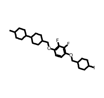 CC1CCC(C2CCC(COc3ccc(OCC4CCC(I)CC4)c(F)c3F)CC2)CC1